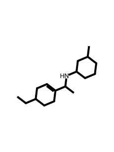 CCC1CC=C(C(C)NC2CCCC(C)C2)CC1